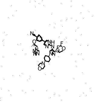 C[C@@H](Cn1cnnn1)Oc1cc(-c2cnc(Nc3cn([C@H]4CC[C@H](N5CCOCC5)CC4)nc3OCCOC(F)F)nc2)ccc1C#N